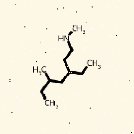 CCC(C)CC(CC)CCNC